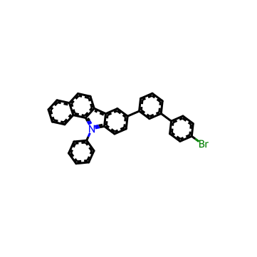 Brc1ccc(-c2cccc(-c3ccc4c(c3)c3ccc5ccccc5c3n4-c3ccccc3)c2)cc1